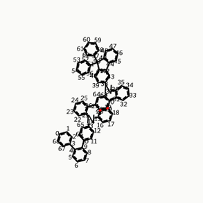 c1ccc(-c2ccccc2-c2ccc(N(c3ccccc3)c3ccccc3-c3ccc4c5ccccc5n(-c5ccc6c(c5)-c5ccccc5C6(c5ccccc5)c5ccccc5)c4c3)cc2)cc1